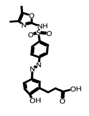 Cc1nc(NS(=O)(=O)c2ccc(N=Nc3ccc(O)c(CCC(=O)O)c3)cc2)oc1C